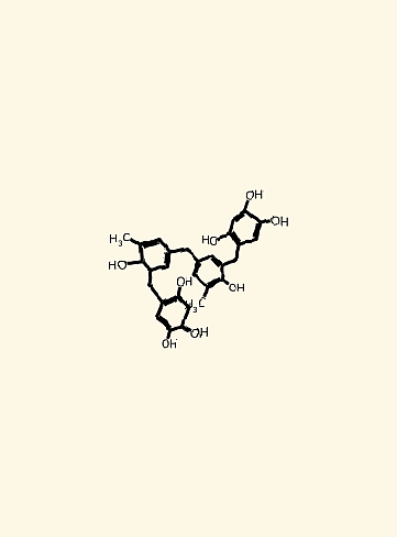 CC1=CC(Cc2cc(C)c(O)c(Cc3cc(O)c(O)cc3O)c2)=CC(CC2=C(O)CC(O)C(O)=C2)C1O